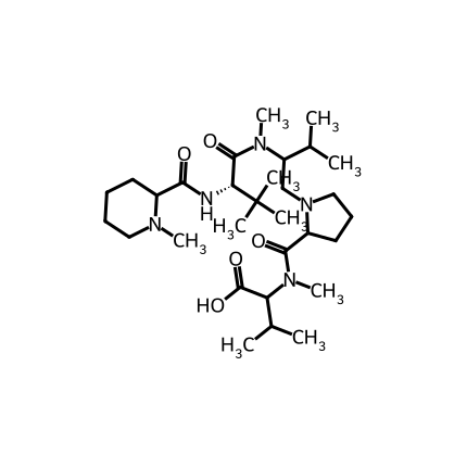 CC(C)C(CN1CCCC1C(=O)N(C)C(C(=O)O)C(C)C)N(C)C(=O)[C@@H](NC(=O)C1CCCCN1C)C(C)(C)C